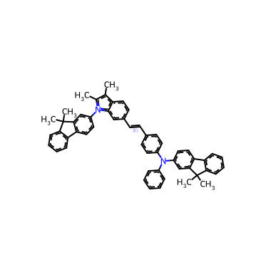 Cc1c(C)n(-c2ccc3c(c2)C(C)(C)c2ccccc2-3)c2cc(/C=C/c3ccc(N(c4ccccc4)c4ccc5c(c4)C(C)(C)c4ccccc4-5)cc3)ccc12